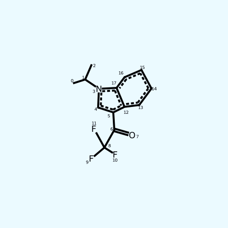 CC(C)n1cc(C(=O)C(F)(F)F)c2ccccc21